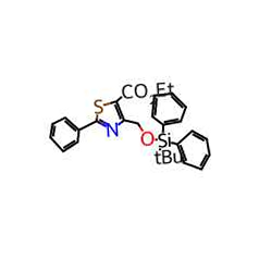 CCOC(=O)c1sc(-c2ccccc2)nc1CO[Si](c1ccccc1)(c1ccccc1)C(C)(C)C